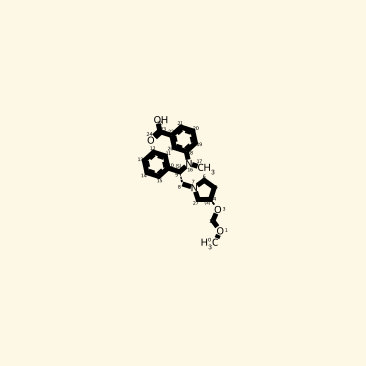 COCO[C@H]1CCN(C[C@H](c2ccccc2)N(C)c2cccc(C(=O)O)c2)C1